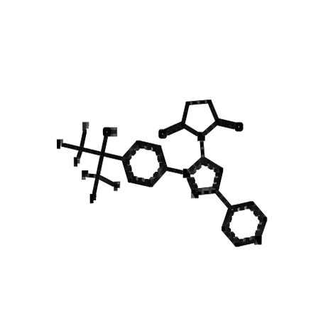 O=C1CCC(=O)N1c1cc(-c2ccncc2)nn1-c1ccc(C(O)(C(F)(F)F)C(F)(F)F)cc1